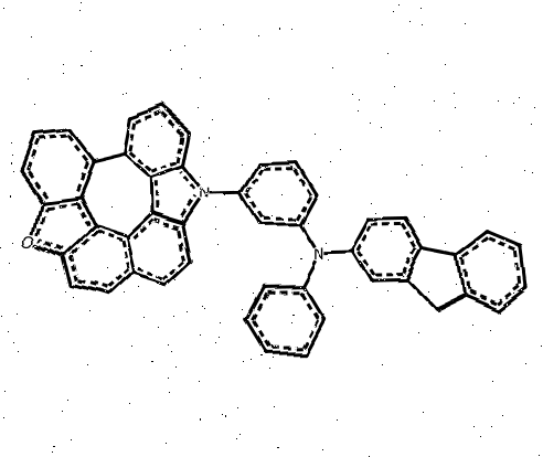 c1ccc(N(c2cccc(-n3c4cccc5c4c4c6c(ccc7oc8cccc-5c8c76)ccc43)c2)c2ccc3c(c2)Cc2ccccc2-3)cc1